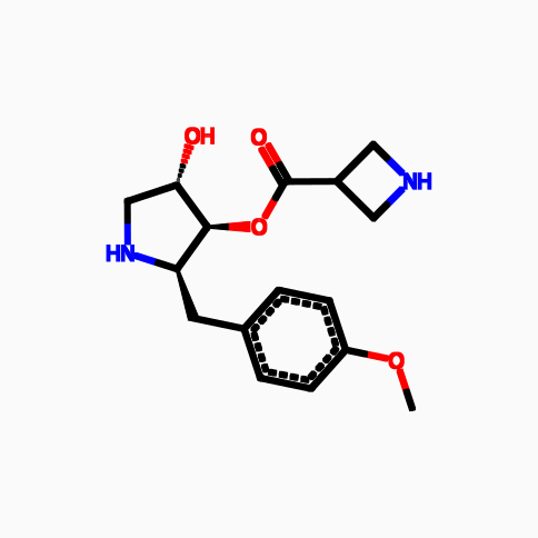 COc1ccc(C[C@H]2NC[C@H](O)[C@H]2OC(=O)C2CNC2)cc1